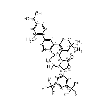 COc1ncc(-c2ccc(C(=O)O)cc2C)cc1C1=C(CN2C(=O)O[C@H](c3cc(C(F)(F)F)cc(C(F)(F)F)c3)C2C)CC(C)(C)CC1